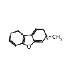 C[C@@H]1C=c2oc3c(c2=CC1)CCC=C3